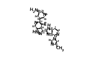 Cc1cn(-c2nccc3[nH]c(-c4n[nH]c5cnc(-c6cncc(N)c6)c(F)c45)nc23)cn1